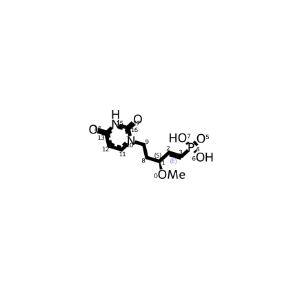 CO[C@H](/C=C/P(=O)(O)O)CCn1ccc(=O)[nH]c1=O